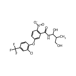 CC(CO)C(O)NC(=O)c1cc(Oc2ccc(C(F)(F)F)cc2Cl)ccc1[N+](=O)[O-]